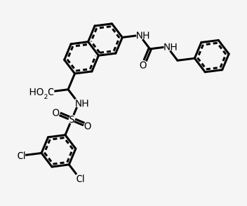 O=C(NCc1ccccc1)Nc1ccc2ccc(C(NS(=O)(=O)c3cc(Cl)cc(Cl)c3)C(=O)O)cc2c1